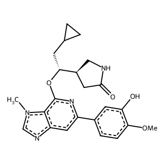 COc1ccc(-c2cc3ncn(C)c3c(O[C@H](CC3CC3)[C@H]3CNC(=O)C3)n2)cc1O